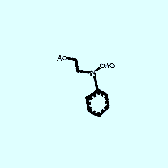 CC(=O)CCN(C=O)c1ccccc1